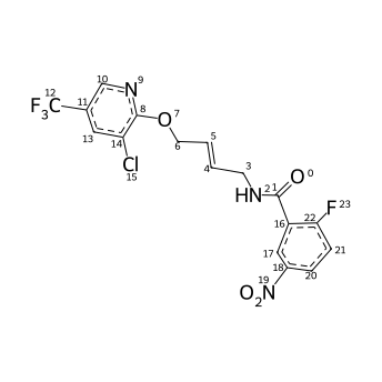 O=C(NCC=CCOc1ncc(C(F)(F)F)cc1Cl)c1cc([N+](=O)[O-])ccc1F